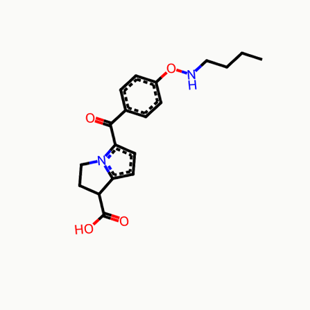 CCCCNOc1ccc(C(=O)c2ccc3n2CCC3C(=O)O)cc1